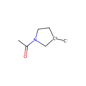 [CH2-][C+]1CCN(C(C)=O)C1